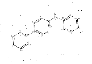 C=C(/C=C\C(=C/C)c1ccccc1)Nc1ccccc1